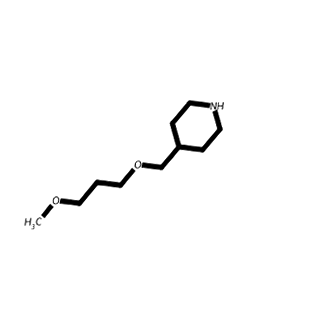 COCCCOCC1CCNCC1